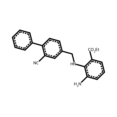 CCOC(=O)c1cccc(N)c1NCc1ccc(-c2ccccc2)c(C#N)c1